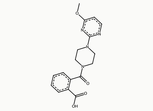 COc1ccnc(N2CCN(C(=O)c3ccccc3C(=O)O)CC2)n1